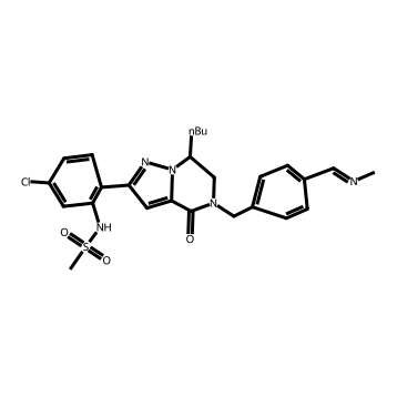 CCCCC1CN(Cc2ccc(/C=N/C)cc2)C(=O)c2cc(-c3ccc(Cl)cc3NS(C)(=O)=O)nn21